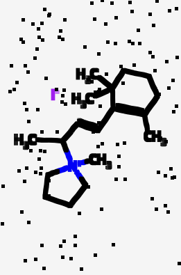 CC1=C(C=CC(C)[N+]2(C)CCCC2)C(C)(C)CCC1.[I-]